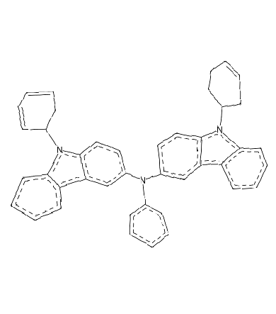 C1=CCC(n2c3ccccc3c3cc(N(c4ccccc4)c4ccc5c(c4)c4ccccc4n5C4CC=CCC4)ccc32)C=C1